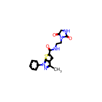 Cc1nn(-c2ccccc2)c2sc(C(=O)NCCN3C(=O)CNC3=O)cc12